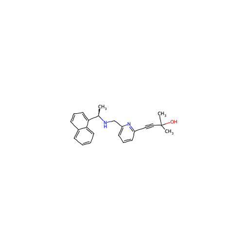 C[C@@H](NCc1cccc(C#CC(C)(C)O)n1)c1cccc2ccccc12